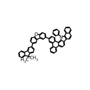 CC1(C)c2ccccc2-c2cc(-c3ccc4oc5ccc(-c6ccc7c(c6)c6ccccc6c6ccc8c9ccc%10ccccc%10c9n(-c9ccccc9)c8c67)cc5c4c3)ccc21